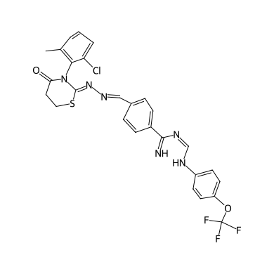 Cc1cccc(Cl)c1N1C(=O)CCS/C1=N\N=C\c1ccc(C(=N)/N=C\Nc2ccc(OC(F)(F)F)cc2)cc1